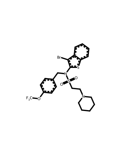 O=S(=O)(CCN1CCCCC1)N(Cc1ccc(OC(F)(F)F)cc1)c1sc2ccccc2c1Br